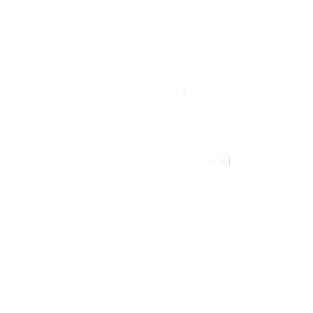 Oc1ccccc1-c1cc(Cl)cc2ccccc12